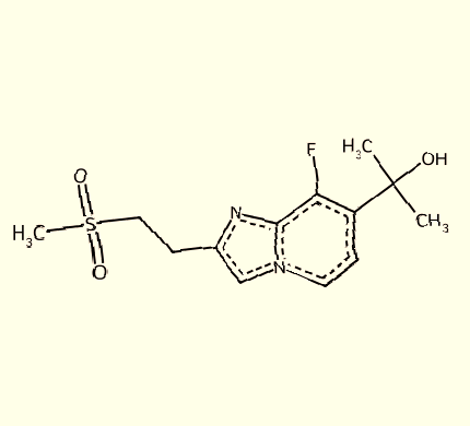 CC(C)(O)c1ccn2cc(CCS(C)(=O)=O)nc2c1F